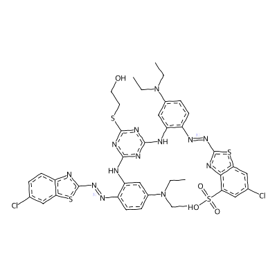 CCN(CC)c1ccc(/N=N/c2nc3ccc(Cl)cc3s2)c(Nc2nc(Nc3cc(N(CC)CC)ccc3/N=N/c3nc4c(S(=O)(=O)O)cc(Cl)cc4s3)nc(SCCO)n2)c1